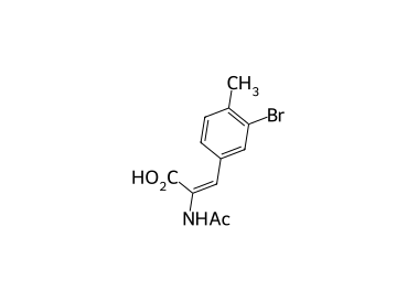 CC(=O)N/C(=C/c1ccc(C)c(Br)c1)C(=O)O